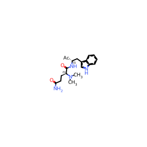 CC(=O)[C@H](Cc1c[nH]c2ccccc12)NC(=O)[C@H](CCC(N)=O)N(C)C